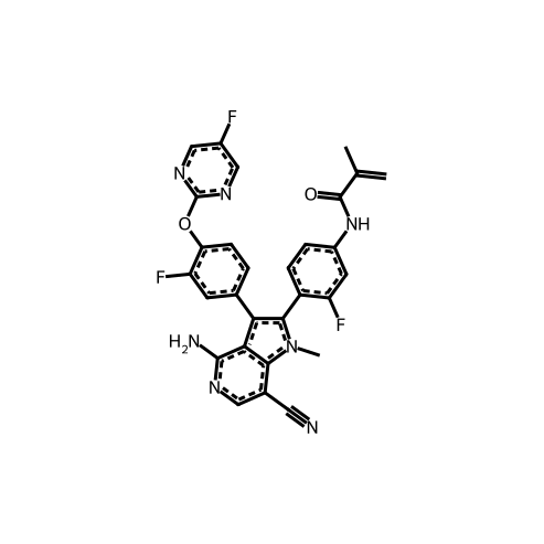 C=C(C)C(=O)Nc1ccc(-c2c(-c3ccc(Oc4ncc(F)cn4)c(F)c3)c3c(N)ncc(C#N)c3n2C)c(F)c1